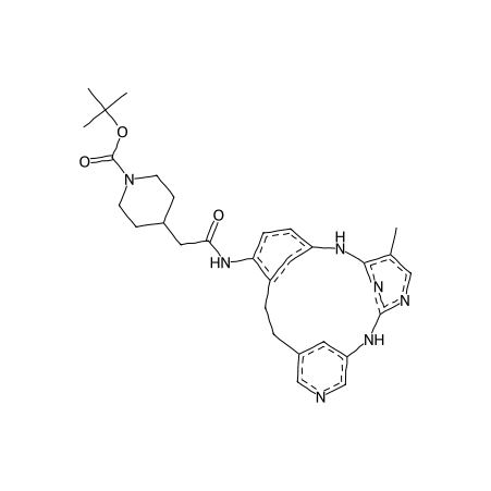 Cc1cnc2nc1Nc1ccc(NC(=O)CC3CCN(C(=O)OC(C)(C)C)CC3)c(c1)CCc1cncc(c1)N2